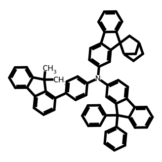 CC1(C)c2ccccc2-c2cccc(-c3ccc(N(c4ccc5c(c4)C(c4ccccc4)(c4ccccc4)c4ccccc4-5)c4ccc5c(c4)C4(CC6CCC4C6)c4ccccc4-5)cc3)c21